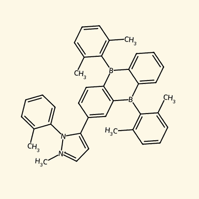 Cc1ccccc1-n1c(-c2ccc3c(c2)B(c2c(C)cccc2C)c2ccccc2B3c2c(C)cccc2C)cc[n+]1C